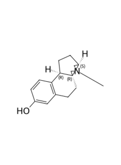 CN1C[C@H]2CC[C@@H]3c4ccc(O)cc4CC[C@]23C1